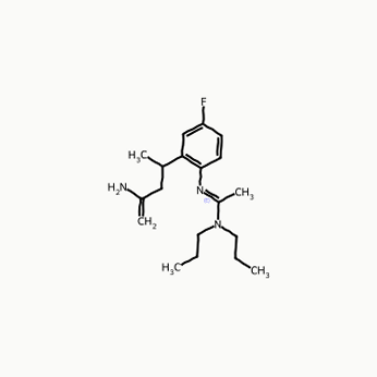 C=C(N)CC(C)c1cc(F)ccc1/N=C(\C)N(CCC)CCC